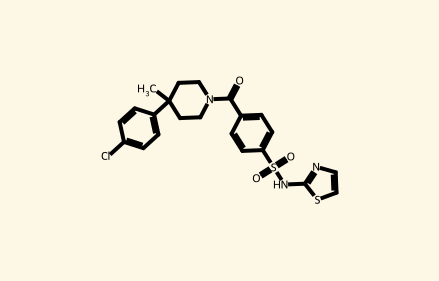 CC1(c2ccc(Cl)cc2)CCN(C(=O)c2ccc(S(=O)(=O)Nc3nccs3)cc2)CC1